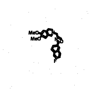 COc1cc2c(cc1OC)CN(Cc1coc(-c3ccc4cc(F)ccc4c3)n1)CC2